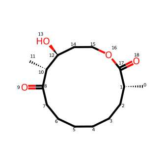 C[C@@H]1CCCCCCC(=O)[C@H](C)[C@@H](O)CCOC1=O